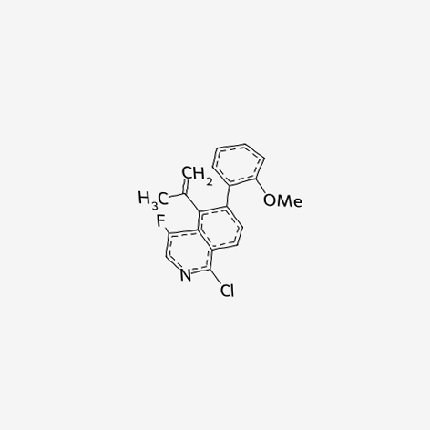 C=C(C)c1c(-c2ccccc2OC)ccc2c(Cl)ncc(F)c12